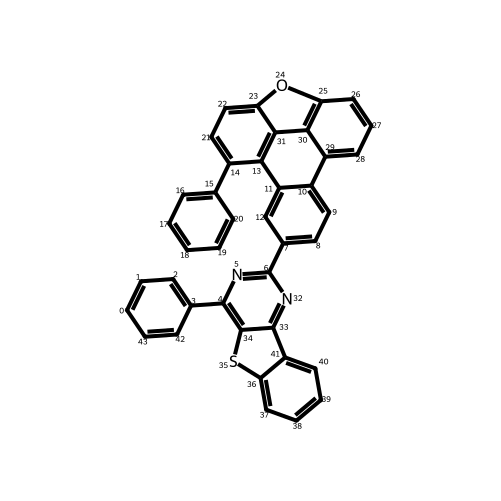 c1ccc(-c2nc(-c3ccc4c(c3)c3c(-c5ccccc5)ccc5oc6cccc4c6c53)nc3c2sc2ccccc23)cc1